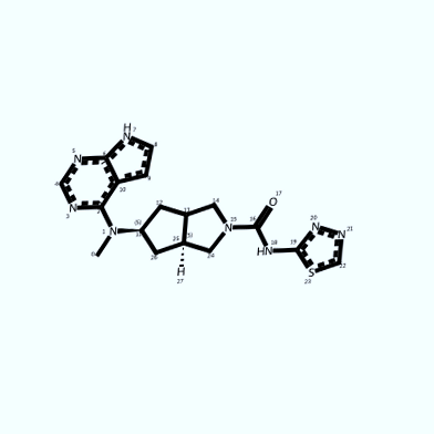 CN(c1ncnc2[nH]ccc12)[C@H]1CC2CN(C(=O)Nc3nncs3)C[C@H]2C1